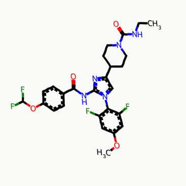 CCNC(=O)N1CCC(c2cn(-c3c(F)cc(OC)cc3F)c(NC(=O)c3ccc(OC(F)F)cc3)n2)CC1